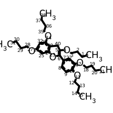 CCCCOC1=C(c2ccc(OCCCC)c(OCCCC)c2)Oc2cc(OCCCC)cc(OCCCC)c2C1